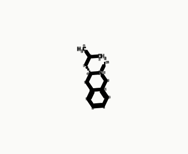 CC(C)C[C@H]1Cc2ccccc2CN1I